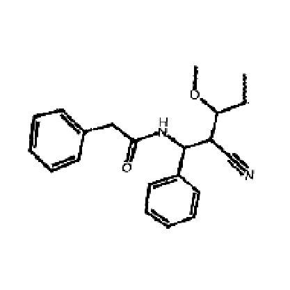 C[CH]C(OC)C(C#N)C(NC(=O)Cc1ccccc1)c1ccccc1